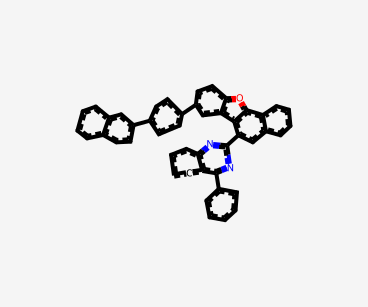 c1ccc(-c2nc(-c3cc4ccccc4c4oc5ccc(-c6ccc(-c7ccc8ccccc8c7)cc6)cc5c34)nc3ccccc23)cc1